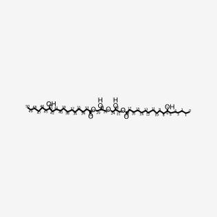 CCCCCCC(O)CCCCCCCCCCC(=O)OCC(O)COCC(O)COC(=O)CCCCCCCCCCC(O)CCCCCC